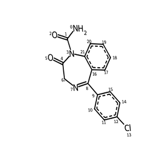 NC(=O)N1C(=O)[CH]N=C(c2ccc(Cl)cc2)c2ccccc21